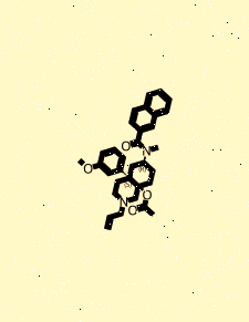 C=CCN1CC[C@@]2(c3cccc(OC)c3)C[C@H](N(C)C(=O)c3ccc4ccccc4c3)CC[C@]2(OC(C)=O)C1